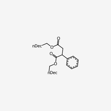 CCCCCCCCCCCOC(=O)CC(C(=O)OCCCCCCCCCCC)c1ccccc1